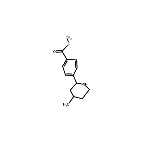 COC(=O)c1ccc(C2CC(C)CCN2)cc1